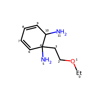 CCOCCC1(N)C=CC=CC1N